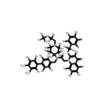 [2H]c1c([2H])c(F)c(F)c(C([2H])([2H])Sc2c([2H])c(=O)c3c([2H])c([2H])c([2H])c([2H])c3n2CC(=O)N(Cc2c([2H])c([2H])c(-c3c([2H])c([2H])c(C(F)(F)F)c(C)c3[2H])c([2H])c2[2H])C2([2H])C([2H])([2H])C([2H])([2H])N(CC([2H])([2H])OC([2H])([2H])[2H])C([2H])([2H])C2([2H])[2H])c1[2H]